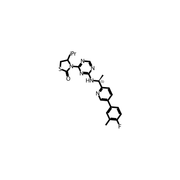 Cc1cc(-c2ccc([C@H](C)Nc3ncnc(N4C(=O)SCC4C(C)C)n3)nc2)ccc1F